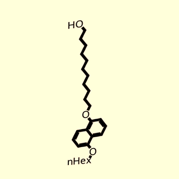 CCCCCCOc1cccc2c(OCCCCCCCCCCCO)cccc12